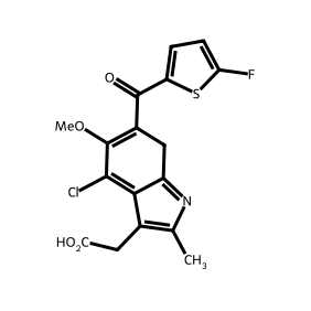 COC1=C(C(=O)c2ccc(F)s2)CC2=NC(C)=C(CC(=O)O)C2=C1Cl